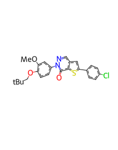 COc1cc(-n2ncc3cc(-c4ccc(Cl)cc4)sc3c2=O)ccc1OCC(C)(C)C